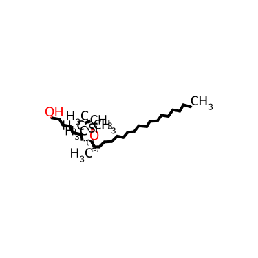 CCCCCCCCCCCCCCCCCC[C@H](C)[C@H](CCCCCCCO)O[Si](C)(C)C(C)(C)C